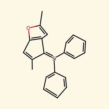 CC1=Cc2oc(C)cc2C1=[Si](c1ccccc1)c1ccccc1